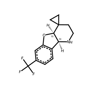 FC(F)(F)c1ccc2c(c1)O[C@@H]1[C@H]2NCCC12CC2